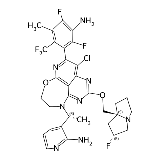 Cc1c(F)c(N)c(F)c(-c2nc3c4c(nc(OC[C@@]56CCCN5C[C@H](F)C6)nc4c2Cl)N([C@H](C)c2cccnc2N)CCO3)c1C(F)(F)F